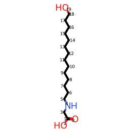 O=C(O)CNCCCCCCCCCCCCCCO